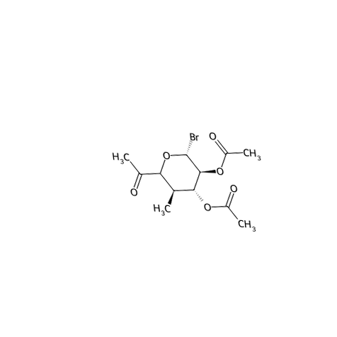 CC(=O)O[C@H]1[C@H](OC(C)=O)[C@@H](C)C(C(C)=O)O[C@@H]1Br